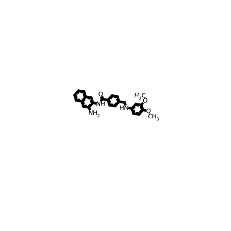 COc1ccc(NCc2ccc(C(=O)Nc3cc4ccccc4cc3N)cc2)cc1OC